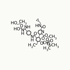 C=Cc1cc(C(=O)Nc2ccc(C(=N)NC(O)OC(C)CO)cc2)c(-c2ccc(C(=O)NCC3CC3)nc2C(=O)OC(C)OC(=O)OC(C)C)cc1OC